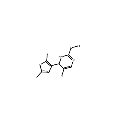 CCOC1=NC=C(Cl)C(c2cc(C)sc2C)N1